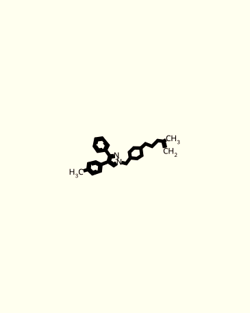 C=C(C)CCCC1CCC(Cn2cc(-c3ccc(C)cc3)c(-c3ccccc3)n2)CC1